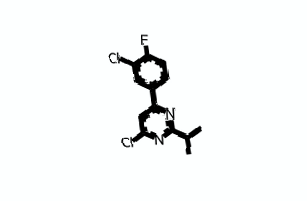 CC(C)c1nc(Cl)cc(-c2ccc(F)c(Cl)c2)n1